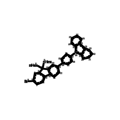 CCCCCCC1(CCCCCC)c2cc(Br)ccc2-c2ccc(-c3ccc(-n4c5ccccc5c5ccccc54)cc3)cc21